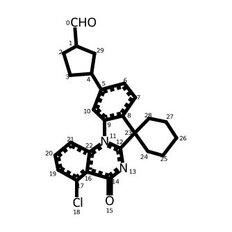 O=CC1CCC(c2ccc3c(c2)-n2c(nc(=O)c4c(Cl)cccc42)C32CCCCC2)C1